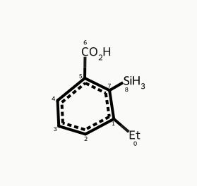 CCc1cccc(C(=O)O)c1[SiH3]